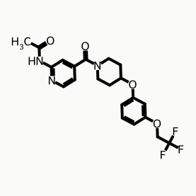 CC(=O)Nc1cc(C(=O)N2CCC(Oc3cccc(OCC(F)(F)F)c3)CC2)ccn1